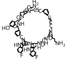 C[C@@]12CCCN1C(=O)[C@H](Cc1ccc(O)cc1)NC(=O)c1cccc(c1)CNC(=O)[C@H](Cc1c[nH]c3ccc(F)cc13)NC(=O)[C@H](Cc1c[nH]c3ccc(F)cc13)NC(=O)CNC(=O)[C@H](CCCCN)NCCCSCc1cccc(c1)CSC[C@@H](C(N)=O)NC2=O